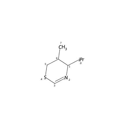 CC(C)C1N=CSCC1C